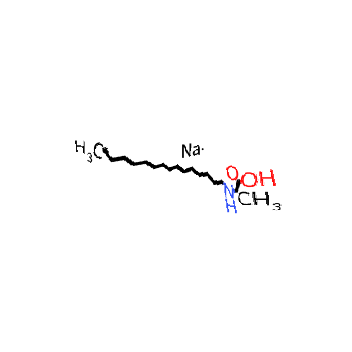 CCCCCCCCCCCCCCCCN[C@@H](C)C(=O)O.[Na]